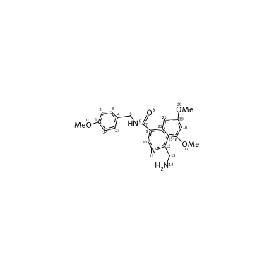 COc1ccc(CNC(=O)c2cnc(CN)c3c(OC)cc(OC)cc23)cc1